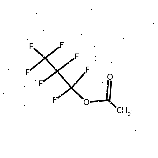 [CH2]C(=O)OC(F)(F)C(F)(F)C(F)(F)F